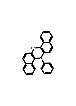 c1ccc(N2c3ccc4ccccc4c3Nc3ccc4ccccc4c32)cc1